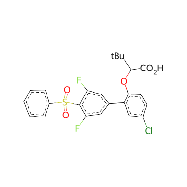 CC(C)(C)C(Oc1ccc(Cl)cc1-c1cc(F)c(S(=O)(=O)c2ccccc2)c(F)c1)C(=O)O